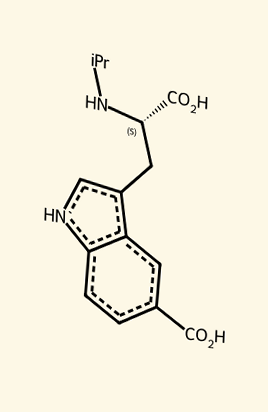 CC(C)N[C@@H](Cc1c[nH]c2ccc(C(=O)O)cc12)C(=O)O